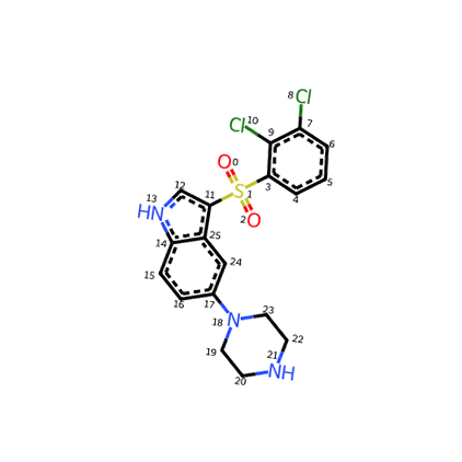 O=S(=O)(c1cccc(Cl)c1Cl)c1c[nH]c2ccc(N3CCNCC3)cc12